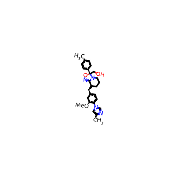 COc1cc(/C=C2\CCCN3C2=NOC3(CO)c2ccc(C)cc2)ccc1-n1cnc(C)c1